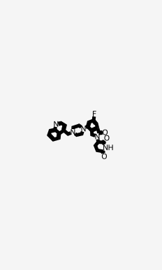 O=C1CCC(N2Cc3c(cc(F)cc3N3CCN(Cc4ccnc5ccccc45)CC3)C2=O)C(=O)N1